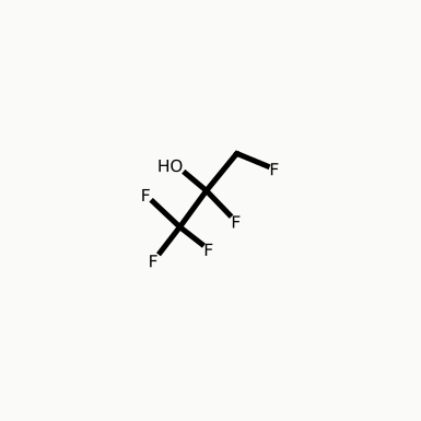 OC(F)(CF)C(F)(F)F